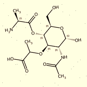 CC(=O)N[C@@H]1[C@@H](OC(C)C(=O)O)[C@H](OC(=O)[C@H](C)N)[C@@H](CO)O[C@@H]1O